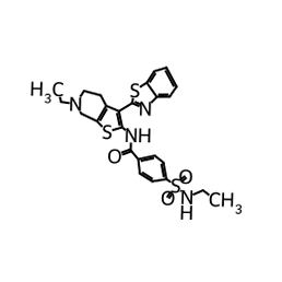 CCNS(=O)(=O)c1ccc(C(=O)Nc2sc3c(c2-c2nc4ccccc4s2)CCN(CC)C3)cc1